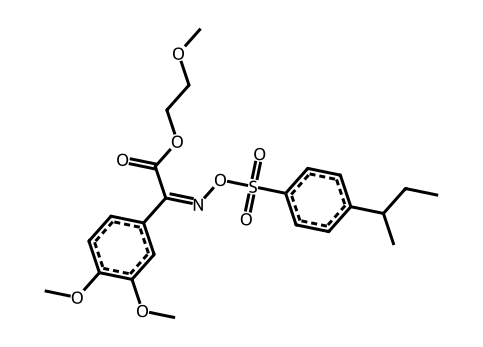 CCC(C)c1ccc(S(=O)(=O)ON=C(C(=O)OCCOC)c2ccc(OC)c(OC)c2)cc1